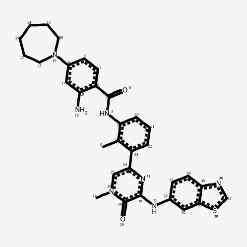 Cc1c(NC(=O)c2ccc(N3CCCCCC3)cc2N)cccc1-c1cn(C)c(=O)c(Nc2ccc3ncsc3c2)n1